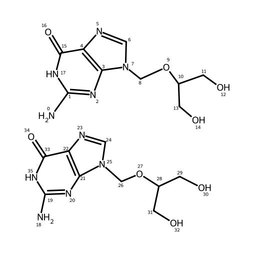 Nc1nc2c(ncn2COC(CO)CO)c(=O)[nH]1.Nc1nc2c(ncn2COC(CO)CO)c(=O)[nH]1